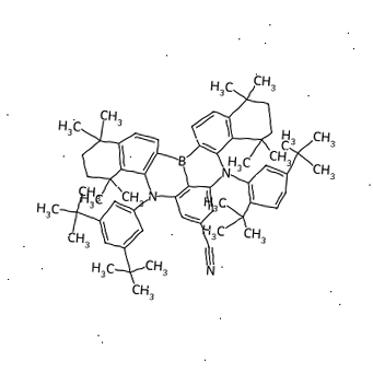 CC(C)(C)c1cc(N2c3cc(C#N)cc4c3B(c3ccc5c(c32)C(C)(C)CCC5(C)C)c2ccc3c(c2N4c2cc(C(C)(C)C)ccc2C(C)(C)C)C(C)(C)CCC3(C)C)cc(C(C)(C)C)c1